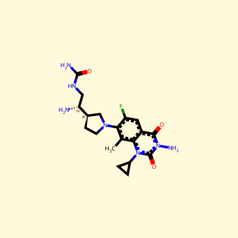 Cc1c(N2CC[C@@H]([C@H](N)CNC(N)=O)C2)c(F)cc2c(=O)n(N)c(=O)n(C3CC3)c12